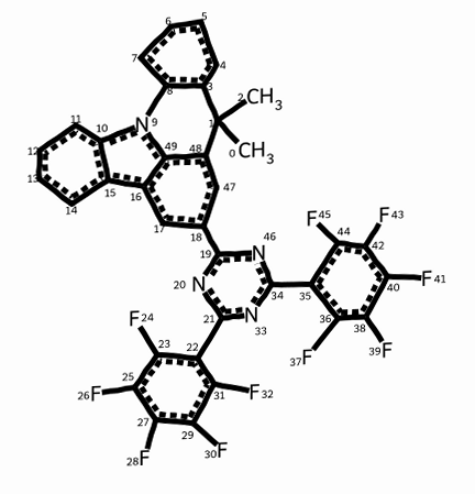 CC1(C)c2ccccc2-n2c3ccccc3c3cc(-c4nc(-c5c(F)c(F)c(F)c(F)c5F)nc(-c5c(F)c(F)c(F)c(F)c5F)n4)cc1c32